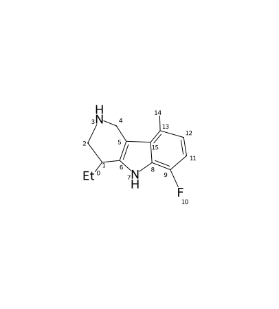 CCC1CNCc2c1[nH]c1c(F)ccc(C)c21